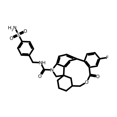 NS(=O)(=O)c1ccc(CNC(=O)N2CC34CCCC(COC(=O)c5cc(F)ccc5-c5ccc2c3c5)C4)cc1